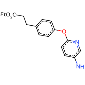 CCOC(=O)CCc1ccc(Oc2ccc(N)cn2)cc1